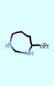 CCCC1CCCNCN1